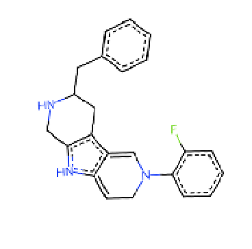 Fc1ccccc1N1C=c2c3c([nH]c2=CC1)CNC(Cc1ccccc1)C3